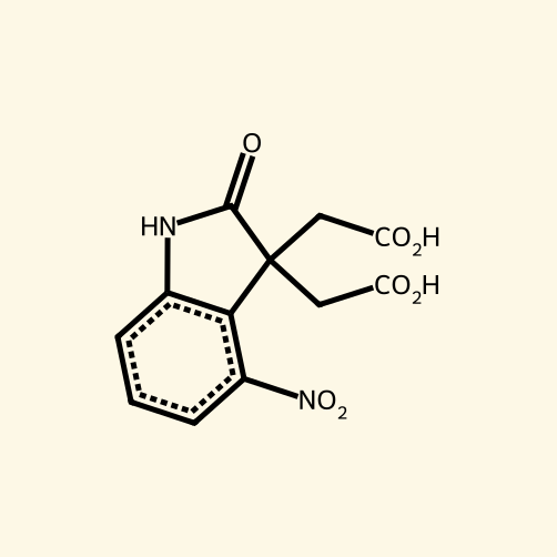 O=C(O)CC1(CC(=O)O)C(=O)Nc2cccc([N+](=O)[O-])c21